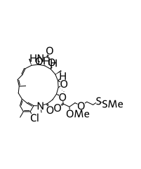 COC(COCCSSC)C(=O)O[C@H]1CC(=O)N(C)c2cc(cc(C)c2Cl)C/C(C)=C/C=C/[C@@H](C)[C@@]2(O)C[C@H](OC(=O)N2)[C@@H](C)[C@@H]2O[C@@]12C